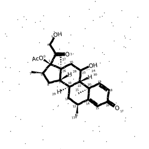 CC(=O)O[C@]1(C(=O)CO)[C@H](C)C[C@H]2[C@@H]3C[C@H](F)C4=CC(=O)C=C[C@]4(C)[C@H]3C(O)C[C@@]21C